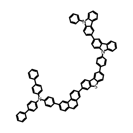 c1ccc(-c2ccc(N(c3ccc(-c4ccccc4)cc3)c3ccc(-c4ccc5ccc6cc(-c7ccc8c(c7)sc7ccc(-c9ccc(-n%10c%11ccccc%11c%11cc(-c%12ccc%13c(c%12)c%12ccccc%12n%13-c%12ccccc%12)ccc%11%10)cc9)cc78)ccc6c5c4)cc3)cc2)cc1